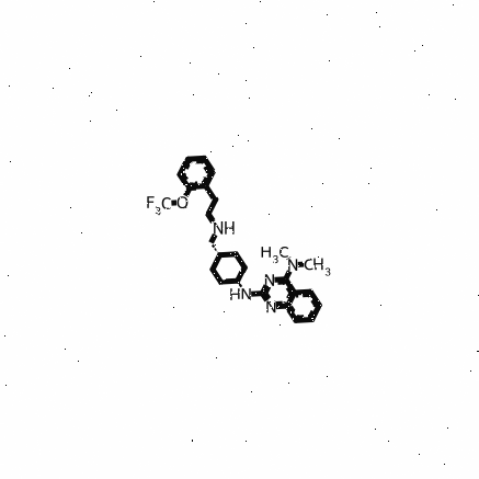 CN(C)c1nc(N[C@H]2CC[C@@H](CNCCc3ccccc3OC(F)(F)F)CC2)nc2ccccc12